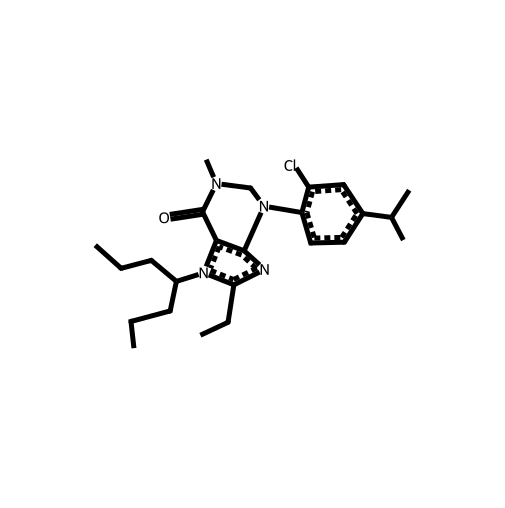 CCCC(CCC)n1c(CC)nc2c1C(=O)N(C)CN2c1ccc(C(C)C)cc1Cl